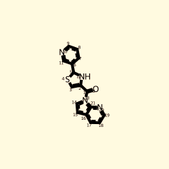 O=C(C1=CSC(c2cccnc2)N1)n1ccc2cccnc21